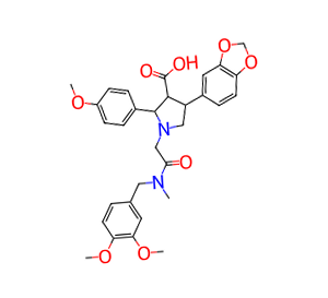 COc1ccc(C2C(C(=O)O)C(c3ccc4c(c3)OCO4)CN2CC(=O)N(C)Cc2ccc(OC)c(OC)c2)cc1